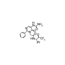 CC(C)C(NC(=O)Cn1c(-c2ccccc2)ncc(NC(N)=O)c1=O)C(=O)C(F)(F)F